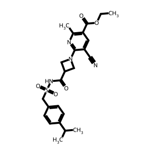 CCOC(=O)c1cc(C#N)c(N2CC(C(=O)NS(=O)(=O)Cc3ccc(C(C)C)cc3)C2)nc1C